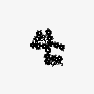 CC1(C)c2ccccc2-c2ccc(-n3c4ccccc4c4ccc(-c5ccc6c(c5)c5cc(-c7ccc8c9ccccc9n(-c9ccc%10c(c9)C(C)(C)c9ccccc9-%10)c8c7)ccc5n6-c5nc(-c6ccc(-c7ccccc7)cc6)nc(-c6ccc(-c7ccccc7)cc6)n5)cc43)cc21